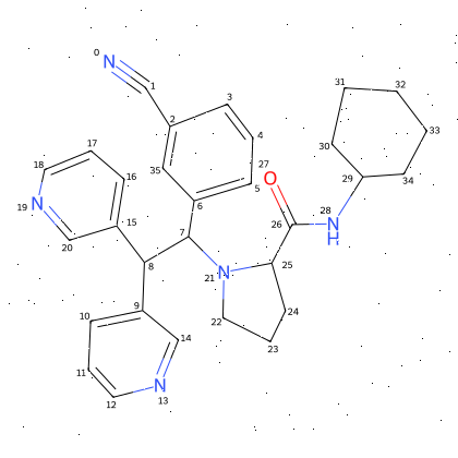 N#Cc1cccc(C(C(c2cccnc2)c2cccnc2)N2CCCC2C(=O)NC2CCCCC2)c1